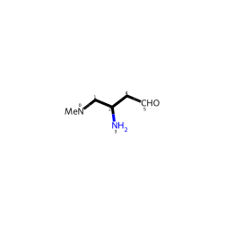 CNCC(N)CC=O